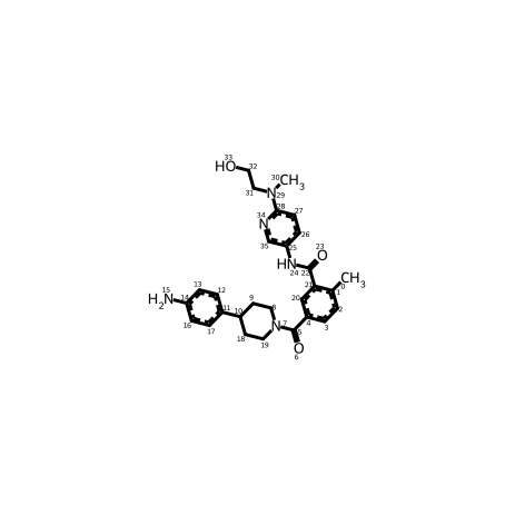 Cc1ccc(C(=O)N2CCC(c3ccc(N)cc3)CC2)cc1C(=O)Nc1ccc(N(C)CCO)nc1